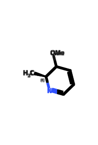 COC1C=CC=N[C@H]1C